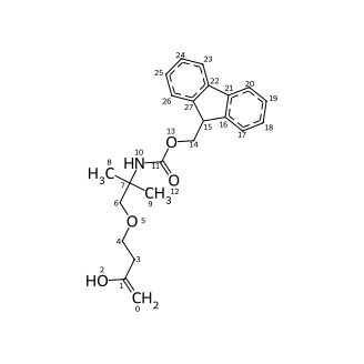 C=C(O)CCOCC(C)(C)NC(=O)OCC1c2ccccc2-c2ccccc21